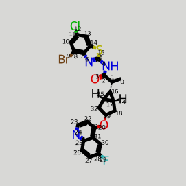 CC(C(=O)Nc1nc2c(Br)cc(Cl)cc2s1)[C@@H]1[C@@H]2C[C@@H](Oc3ccnc4ccc(F)cc34)C[C@@H]21